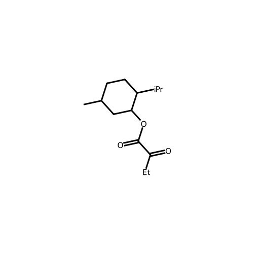 CCC(=O)C(=O)OC1CC(C)CCC1C(C)C